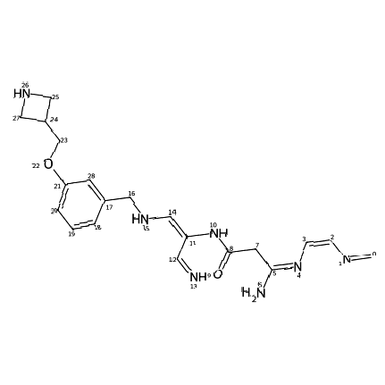 C=N/C=C\N=C(\N)CC(=O)N/C(C=N)=C/NCc1cccc(OCC2CNC2)c1